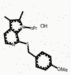 CCCn1c(C)c(C)c2ccnc(SCc3ccc(OC)cc3)c21.Cl